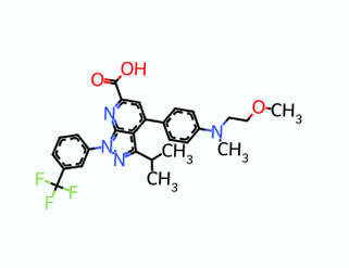 COCCN(C)c1ccc(-c2cc(C(=O)O)nc3c2c(C(C)C)nn3-c2cccc(C(F)(F)F)c2)cc1